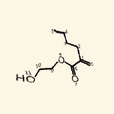 C=C(CCCC)C(=O)OCCO